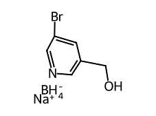 OCc1cncc(Br)c1.[BH4-].[Na+]